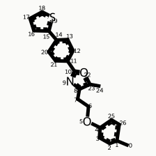 Cc1ccc(OCCc2nc(-c3ccc(-c4cccs4)cc3)oc2C)cc1